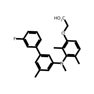 Cc1cc(-c2cccc(F)c2)cc(N(C)c2c(C)ccc(OCC(=O)O)c2C)c1